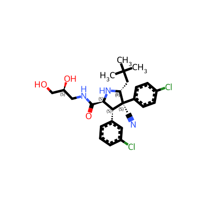 CC(C)(C)C[C@H]1N[C@H](C(=O)NC[C@H](O)CO)[C@@H](c2cccc(Cl)c2)[C@]1(C#N)c1ccc(Cl)cc1